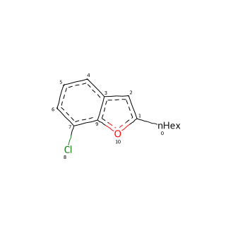 [CH2]CCCCCc1cc2cccc(Cl)c2o1